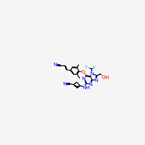 Cc1cc(/C=C/C#N)cc(C)c1Oc1nc(NC23CC(C#N)(C2)C3)nc2nc(CO)n(C(F)F)c12